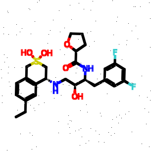 CCc1ccc2c(c1)[C@@H](NC[C@H](O)[C@H](Cc1cc(F)cc(F)c1)NC(=O)C1CCCO1)CS(O)(O)C2